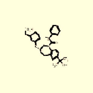 C[C@H](C(=O)N1C[C@@H](Oc2cccc(CC(=O)O)c2)CCc2cc(C(O)(C(F)(F)F)C(F)(F)F)ccc21)c1ccccc1